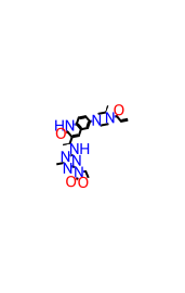 C=CC(=O)N1CCN(c2ccc3[nH]c(=O)c([C@H](C)Nc4nc(C)nc(N5CCOC5=O)n4)cc3c2)C[C@H]1C